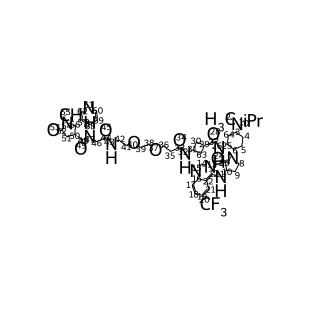 CC(C)N(C)[C@@H]1CC[C@H](N2CC[C@H](Nc3ncnc4ccc(C(F)(F)F)cc34)C2=O)[C@H](NC(=O)C2CC(NC(=O)CCOCCOCCNC(=O)CNC(=O)[C@H]3CC(=O)N(C)[C@@H]3c3cccnc3)C2)C1